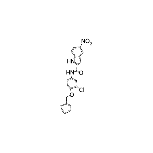 O=C(Nc1ccc(OCc2ccccc2)c(Cl)c1)c1cc2cc([N+](=O)[O-])ccc2[nH]1